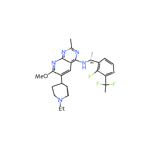 CCN1CCC(c2cc3c(N[C@H](C)c4cccc(C(C)(F)F)c4F)nc(C)nc3nc2OC)CC1